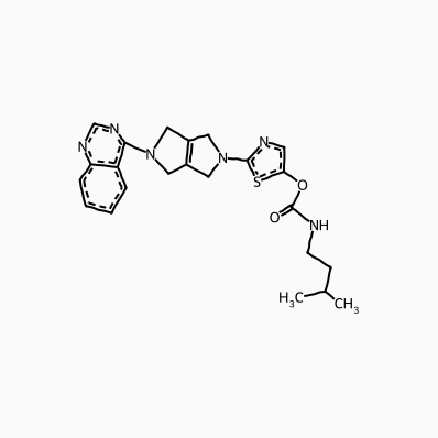 CC(C)CCNC(=O)Oc1cnc(N2CC3=C(C2)CN(c2ncnc4ccccc24)C3)s1